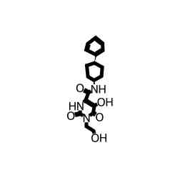 O=C(N[C@H]1CC[C@@H](c2ccccc2)CC1)c1[nH]c(=O)n(CCO)c(=O)c1O